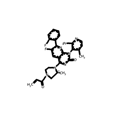 C=CC(=O)N1CCN(c2nc(=O)n(-c3c(C)ccnc3C(C)C)c3nc(-c4ccccc4F)c(F)cc23)[C@@H](C)C1